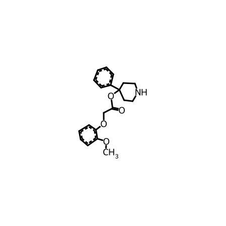 COc1ccccc1OCC(=O)OC1(c2ccccc2)CCNCC1